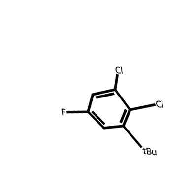 CC(C)(C)c1cc(F)cc(Cl)c1Cl